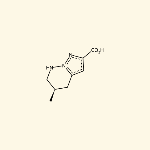 C[C@H]1CNn2nc(C(=O)O)cc2C1